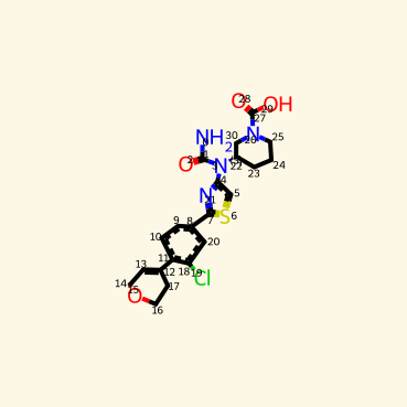 NC(=O)N(c1csc(-c2ccc(C3=CCOCC3)c(Cl)c2)n1)[C@H]1CCCN(C(=O)O)C1